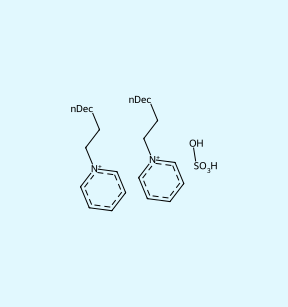 CCCCCCCCCCCC[n+]1ccccc1.CCCCCCCCCCCC[n+]1ccccc1.O=S(=O)(O)O